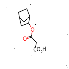 O=C(O)CC(=O)OC1CC2CCC1C2